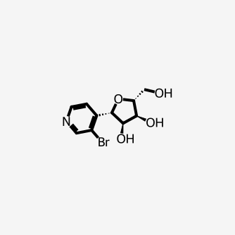 OC[C@H]1O[C@@H](c2ccncc2Br)[C@H](O)[C@@H]1O